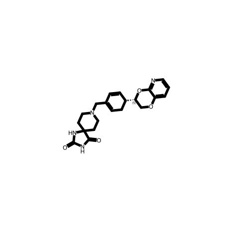 O=C1NC(=O)C2(CCN(CC3=CCC([C@H]4COc5cccnc5O4)C=C3)CC2)N1